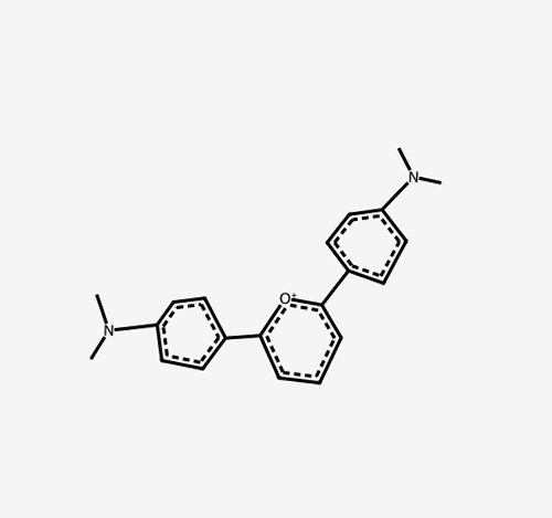 CN(C)c1ccc(-c2cccc(-c3ccc(N(C)C)cc3)[o+]2)cc1